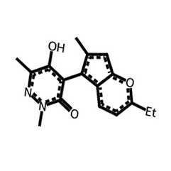 CCc1ccc2c(-c3c(O)c(C)nn(C)c3=O)c(C)cc-2o1